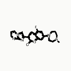 CN1CCCN(c2cc(F)c3cc(-c4cn5cccnc5n4)c(=O)oc3c2)CC1